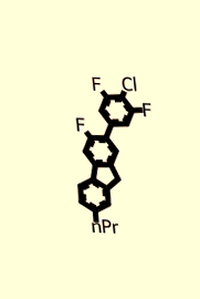 CCCc1ccc2c(c1)Cc1cc(-c3cc(F)c(Cl)c(F)c3)c(F)cc1-2